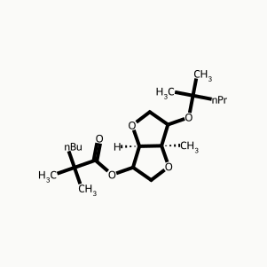 CCCCC(C)(C)C(=O)OC1CO[C@]2(C)C(OC(C)(C)CCC)CO[C@H]12